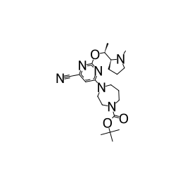 C[C@H](Oc1nc(C#N)cc(N2CCCN(C(=O)OC(C)(C)C)CC2)n1)[C@@H]1CCCN1C